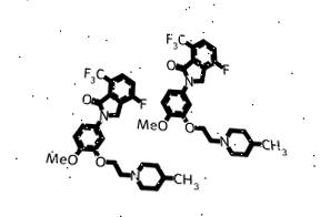 COc1ccc(N2Cc3c(F)ccc(C(F)(F)F)c3C2=O)cc1OCCN1CCC(C)CC1.COc1ccc(N2Cc3c(F)ccc(C(F)(F)F)c3C2=O)cc1OCCN1CCC(C)CC1